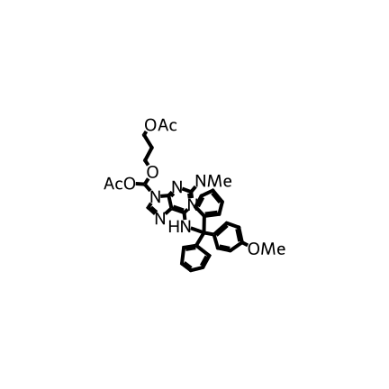 CNc1nc(NC(c2ccccc2)(c2ccccc2)c2ccc(OC)cc2)c2ncn(C(OCCCOC(C)=O)OC(C)=O)c2n1